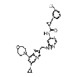 O=C(Nc1cc(NCc2cn3cc(C4CC4)cc(N4CCOCC4)c3n2)ncn1)[C@H]1CC1c1cccc(Cl)c1